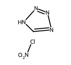 O=[N+]([O-])Cl.c1nnn[nH]1